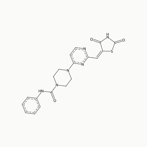 O=C1NC(=O)/C(=C\c2nccc(N3CCN(C(=O)Nc4ccccc4)CC3)n2)S1